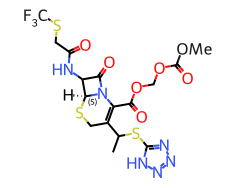 COC(=O)OCOC(=O)C1=C(C(C)Sc2nnn[nH]2)CS[C@H]2C(NC(=O)CSC(F)(F)F)C(=O)N12